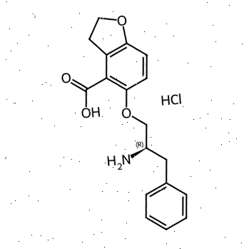 Cl.N[C@@H](COc1ccc2c(c1C(=O)O)CCO2)Cc1ccccc1